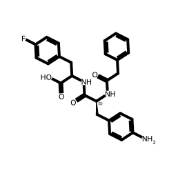 Nc1ccc(C[C@H](NC(=O)Cc2ccccc2)C(=O)NC(Cc2ccc(F)cc2)C(=O)O)cc1